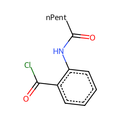 CCCCCC(=O)Nc1ccccc1C(=O)Cl